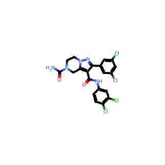 NC(=O)N1CCn2nc(-c3cc(Cl)cc(Cl)c3)c(C(=O)Nc3ccc(Cl)c(Cl)c3)c2C1